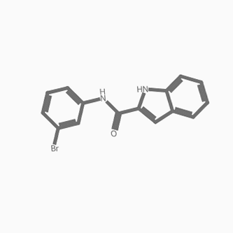 O=C(Nc1cccc(Br)c1)c1cc2ccccc2[nH]1